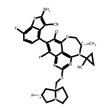 C[C@H]1COc2c(Cl)c(-c3ccc(F)c4sc(N)c(C#N)c34)c(F)c3nc(OC[C@@]45CCCN4C[C@H](F)C5)nc(c23)N1C1(C#N)CC1